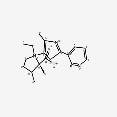 CC[N+]1(c2sc(-c3cccnc3)nc2C)CCC(C)[C@@]1(C)C(O)=S